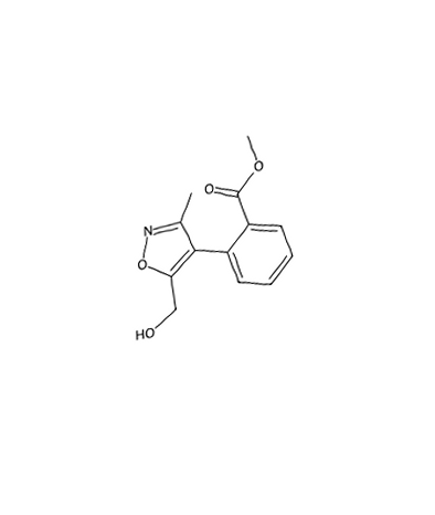 COC(=O)c1ccccc1-c1c(C)noc1CO